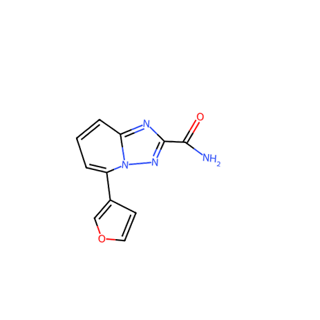 NC(=O)c1nc2cccc(-c3ccoc3)n2n1